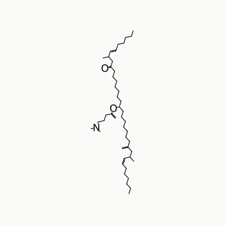 C=C(CCCCCCCC(CCCCCCCC(=O)CC(C)/C=C/CCCCC)OC(=C)CCCN(C)C)CC(C)/C=C\CCCCCC